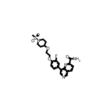 CS(=O)(=O)N1CCC(OCCOc2ccc(-c3cncc4ccc(C(N)=O)nc34)cc2F)CC1